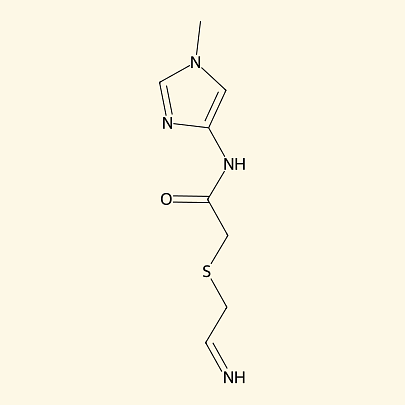 Cn1cnc(NC(=O)CSCC=N)c1